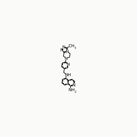 Cc1nnc2n1CCN(c1ccc(CNc3cccc4c(N)nccc34)cn1)C2